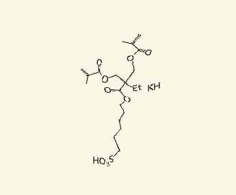 C=C(C)C(=O)OCC(CC)(COC(=O)C(=C)C)C(=O)OCCCCCCS(=O)(=O)O.[KH]